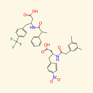 CC(C(=O)NC(CC(=O)O)Cc1ccc(C(F)(F)F)cc1)c1ccccc1.Cc1cc(C)cc(CC(=O)N[C@H](CC(=O)O)Cc2ccc([N+](=O)[O-])cc2)c1